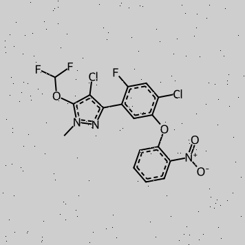 Cn1nc(-c2cc(Oc3ccccc3[N+](=O)[O-])c(Cl)cc2F)c(Cl)c1OC(F)F